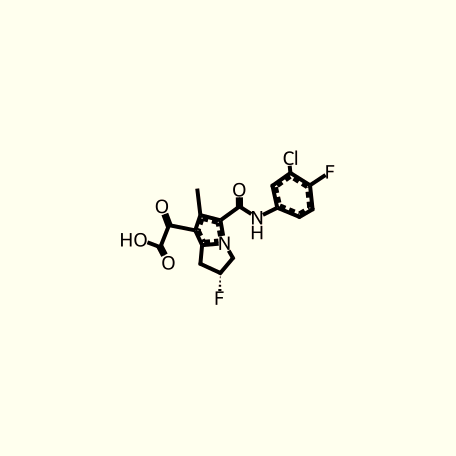 Cc1c(C(=O)C(=O)O)c2n(c1C(=O)Nc1ccc(F)c(Cl)c1)C[C@H](F)C2